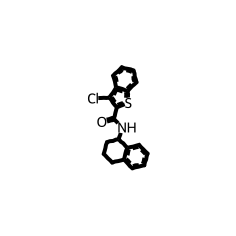 O=C(NC1CCCc2ccccc21)c1sc2ccccc2c1Cl